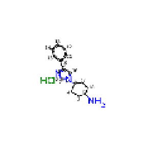 Cl.NC1CCC(n2cnc(-c3ccccc3)c2)CC1